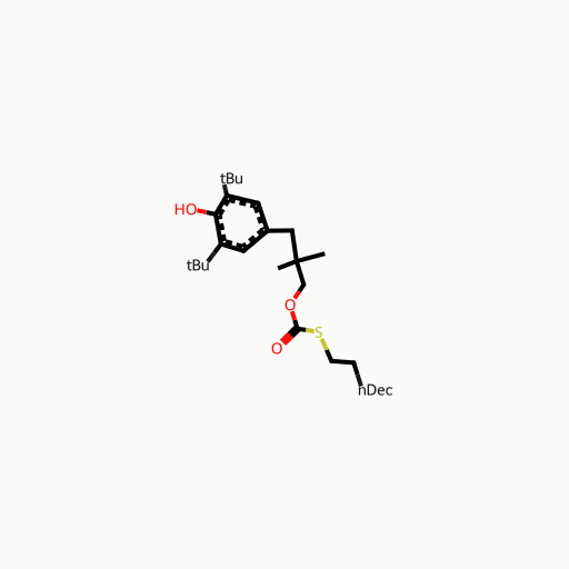 CCCCCCCCCCCCSC(=O)OCC(C)(C)Cc1cc(C(C)(C)C)c(O)c(C(C)(C)C)c1